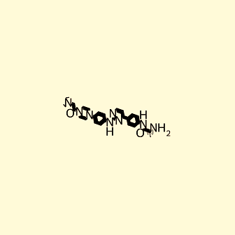 C[C@@H](N)C(=O)Nc1ccc(-c2ccnc(Nc3ccc(N4CCN(C(=O)CN(C)C)CC4)cc3)n2)cc1